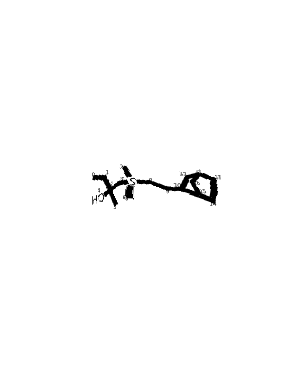 CCC(C)(O)S(C)(C)CCC1CC2C=CC1C2